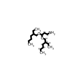 CCCCC(CC)COC(CCN)OCC(CC)CCCC